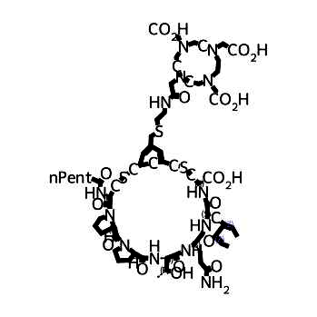 C/C=C\C(=C/C)C[C@@H]1NC(=O)[C@H](CCC(N)=O)NC(=O)[C@H]([C@@H](C)O)NC(=O)[C@@H]2CCCN2C(=O)[C@@H]2CCCN2C(=O)[C@@H](NC(=O)CCCCC)CSCC2C=C(CSCCNC(=O)CN3CCN(CC(=O)O)CCN(CC(=O)O)CCN(CC(=O)O)CC3)C=C(CSC[C@@H](C(=O)O)NC1=O)C2